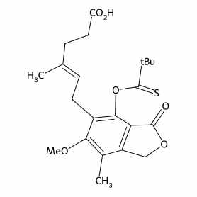 COc1c(C)c2c(c(OC(=S)C(C)(C)C)c1C/C=C(\C)CCC(=O)O)C(=O)OC2